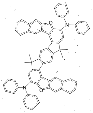 CC1(C)c2cc3c(cc2-c2c1cc(N(c1ccccc1)c1ccccc1)c1oc4cc5ccccc5cc4c21)C(C)(C)c1cc(N(c2ccccc2)c2ccccc2)c2oc4cc5ccccc5cc4c2c1-3